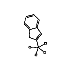 ClP(Cl)(Cl)(Cl)C1=Cc2ccccc2C1